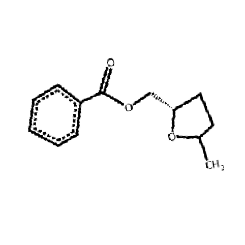 CC1CC[C@@H](COC(=O)c2ccccc2)O1